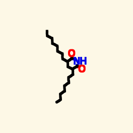 CCCCCCCCC1CC(CCCCCCCC)C(=O)NC1=O